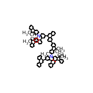 Cc1cc(-c2cc3ccccc3c3ccccc23)cc(-c2cccc3ccccc23)c1N(c1ccc2c(c1)C(C)(C)c1ccccc1-2)c1ccc2c(c1)C(C)(C)c1ccc(-c3ccc4c(-c5ccc(N(c6ccc7c(c6)C(C)(C)c6ccccc6-7)c6ccc7c(c6)C(C)(C)c6ccccc6-7)c(-c6cccc7ccccc67)c5)cc5ccccc5c4c3)cc1-2